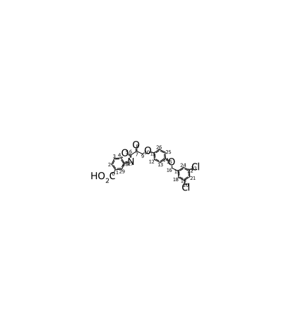 O=C(O)c1ccc2oc(C(=O)COc3ccc(OCc4cc(Cl)cc(Cl)c4)cc3)nc2c1